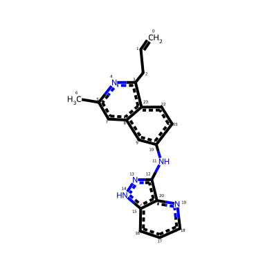 C=CCc1nc(C)cc2cc(Nc3n[nH]c4cccnc34)ccc12